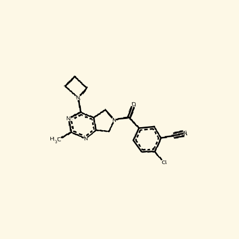 Cc1nc2c(c(N3CCC3)n1)CN(C(=O)c1ccc(Cl)c(C#N)c1)C2